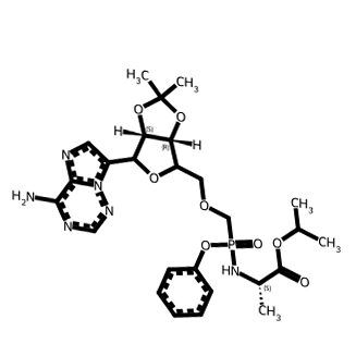 CC(C)OC(=O)[C@H](C)NP(=O)(COCC1OC(c2cnc3c(N)ncnn23)[C@@H]2OC(C)(C)O[C@H]12)Oc1ccccc1